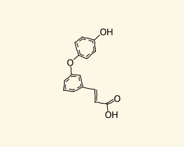 O=C(O)C=Cc1cccc(Oc2ccc(O)cc2)c1